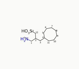 NCC(CC1CCCCCCC1)CS(=O)(=O)O